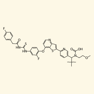 COCCN(C(=O)O)C(c1ccc(-c2cc3nccc(Oc4ccc(NC(=S)NC(=O)Cc5ccc(F)cc5)cc4F)c3s2)nc1)C(C)(C)C